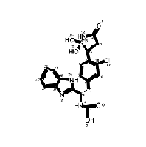 O=C(O)N[C@@H](Cc1ccc(C2CC(=O)NS2(O)O)c(Cl)c1)c1nc2ccccc2[nH]1